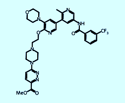 COC(=O)c1ccc(N2CCN(CCOc3ncc(-c4cc(NC(=O)c5cccc(C(F)(F)F)c5)cnc4C)cc3N3CCOCC3)CC2)nn1